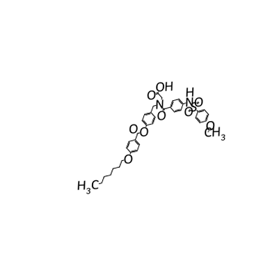 CCCCCCCOc1ccc(C(=O)Oc2ccc(CN(CC(=O)O)C(=O)c3ccc(NS(=O)(=O)c4ccc(OC)cc4)cc3)cc2)cc1